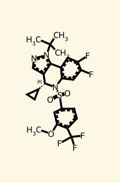 COc1cc(S(=O)(=O)N2c3cc(F)c(F)cc3-c3c(cnn3C(C)(C)C)[C@H]2C2CC2)ccc1C(F)(F)F